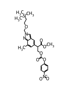 COC(=O)C(COC(=O)Oc1ccc([N+](=O)[O-])cc1)c1cc(C)c2nn(COCC[Si](C)(C)C)cc2c1